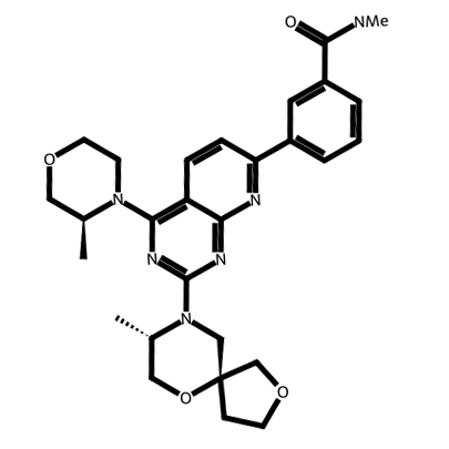 CNC(=O)c1cccc(-c2ccc3c(N4CCOC[C@@H]4C)nc(N4C[C@@]5(CCOC5)OC[C@@H]4C)nc3n2)c1